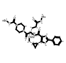 CCCCOC(=O)N1CCN(C(=O)[C@H](CCC(=O)OC(C)(C)C)NC(=O)c2nc(-c3ccccc3)sc2[C@H]2C[C@@H]2COC)CC1